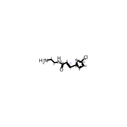 NCCNC(=O)/C=C/c1ccc(Cl)s1